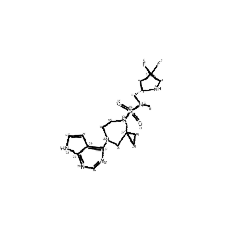 CN(C[C@@H]1CC(F)(F)CN1)S(=O)(=O)N1CCN(c2ncnc3[nH]ccc23)CC12CC2